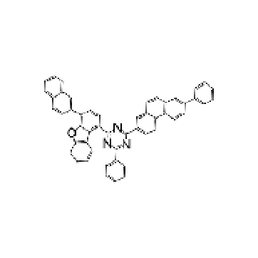 C1=Cc2c(oc3c(-c4ccc5ccccc5c4)ccc(-c4nc(-c5ccccc5)nc(-c5ccc6c(ccc7cc(-c8ccccc8)ccc76)c5)n4)c23)CC1